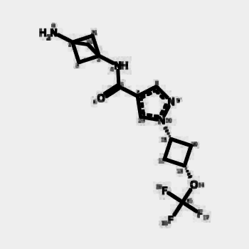 NC12CC(NC(=O)c3cnn([C@H]4C[C@@H](OC(F)(F)F)C4)c3)(C1)C2